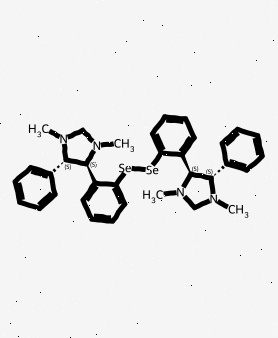 CN1CN(C)[C@@H](c2ccccc2[Se][Se]c2ccccc2[C@H]2[C@H](c3ccccc3)N(C)CN2C)[C@@H]1c1ccccc1